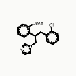 COc1ccccc1C(Cc1ccccc1Cl)Cn1ccnc1